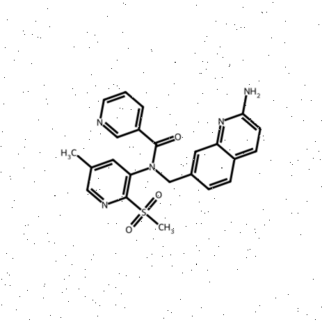 Cc1cnc(S(C)(=O)=O)c(N(Cc2ccc3ccc(N)nc3c2)C(=O)c2cccnc2)c1